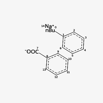 CCCCc1ccccc1.O=C([O-])c1ccccc1.[Na+]